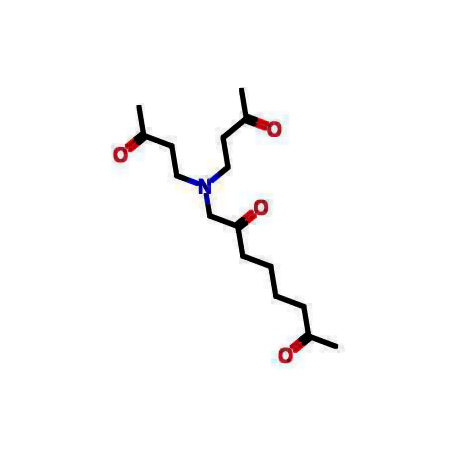 CC(=O)CCCCC(=O)CN(CCC(C)=O)CCC(C)=O